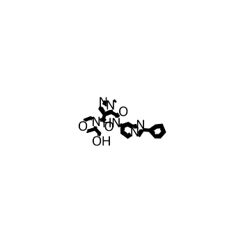 Cn1ncc(C(=O)N2CCOCC2CO)c1C(=O)Nc1ccn2cc(-c3ccccc3)nc2c1